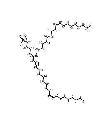 CCCCCCCC/C=C\CCCCCCCCOCC(CCCC[N+](C)(C)C)OCCCCCCCC/C=C\CCCCCCCC